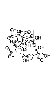 CCC(CO)(CO)CO.O=C(O)CC(S)C(C(S)CC(=O)O)C(C(S)CC(=O)O)(C(S)CC(=O)O)C(CO)(CO)CO